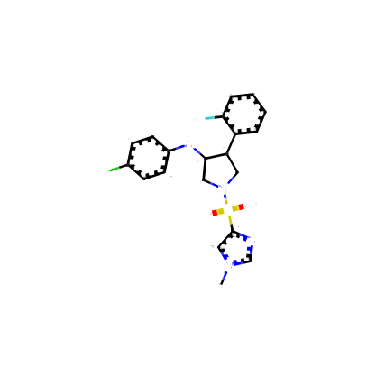 Cn1cnc(S(=O)(=O)N2CC(Nc3ccc(Cl)cc3)C(c3ccccc3F)C2)c1